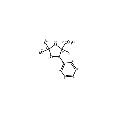 CCC1(CC)OC(c2ccccc2)C(C)(C(=O)O)O1